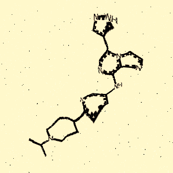 CC(C)N1CCC(c2ccc(Nc3ncc(-c4cn[nH]c4)n4ccnc34)cn2)CC1